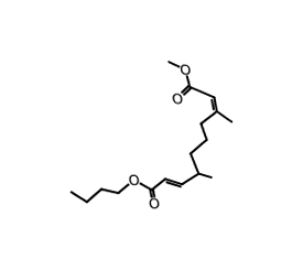 CCCCOC(=O)/C=C/C(C)CCC/C(C)=C\C(=O)OC